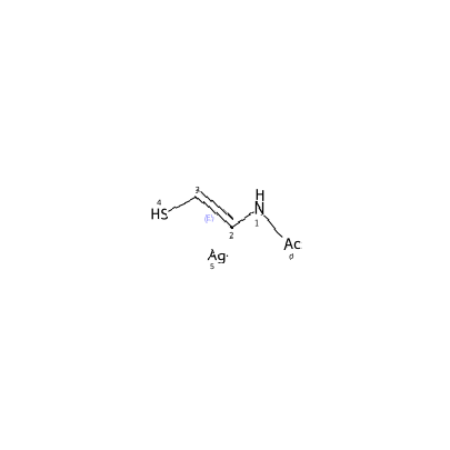 CC(=O)N/C=C/S.[Ag]